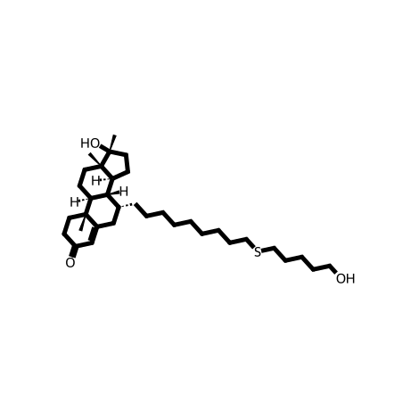 C[C@]12CCC(=O)C=C1C[C@@H](CCCCCCCCCSCCCCCO)[C@@H]1[C@@H]2CC[C@@]2(C)[C@H]1CC[C@@]2(C)O